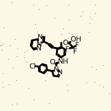 Cc1ccc(NC(=O)N2N=CCC2c2ccc(Cl)cc2)cc1C#Cc1cnc2cccnn12.O=C(O)C(F)(F)F